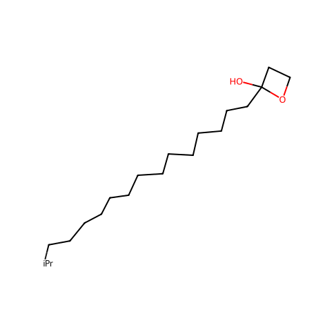 CC(C)CCCCCCCCCCCCCCC1(O)CCO1